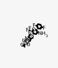 N[C@H]1C[C@@H](N2Cc3cn(S(=O)(=O)C4CO4)nc3C2)[C@H](C(F)(F)F)O[C@@H]1c1cc(F)ccc1F